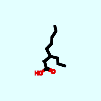 CCCCCC([CH]C(=O)O)CCC